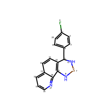 Fc1ccc(C2NSNc3c2ccc2cccnc32)cc1